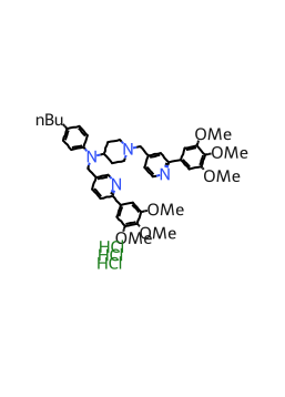 CCCCc1ccc(N(Cc2ccc(-c3cc(OC)c(OC)c(OC)c3)nc2)C2CCN(Cc3ccnc(-c4cc(OC)c(OC)c(OC)c4)c3)CC2)cc1.Cl.Cl.Cl